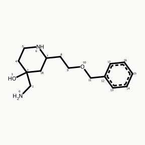 NCC1(O)CCNC(CCOCc2ccccc2)C1